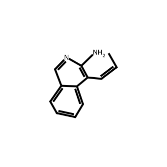 C/C=C\c1c(N)ncc2ccccc12